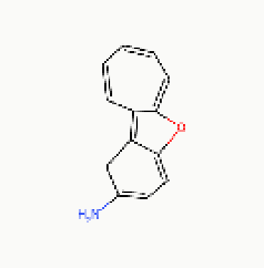 NC1=CC=c2oc3c(c2C1)C=CC=CC=3